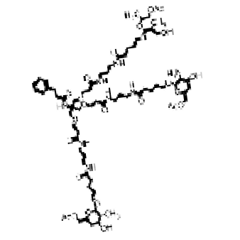 CC(=O)OCC(C)O[C@@H](OCCCCC(=O)NCCCNC(=O)CCOCC(COCCC(=O)NCCCNC(=O)CCCCO[C@@H]1OC(COC(C)=O)CC(O)[C@@H]1C)(COCCC(=O)NCCCNC(=O)CCCCO[C@@H]1OC(COC(C)=O)CC(O)[C@@H]1N)NC(=O)CCc1ccccc1)[C@@H](C)CO